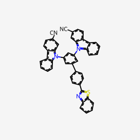 N#Cc1ccc2c3ccccc3n(-c3cc(-c4ccc(-c5nc6ccccc6s5)cc4)cc(-n4c5ccccc5c5ccc(C#N)cc54)c3)c2c1